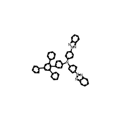 c1ccc(-c2cc(-c3ccccc3)c(-c3ccc(N(c4ccc(-n5nc6ccccc6n5)cc4)c4ccc(-n5nc6ccccc6n5)cc4)cc3)c(-c3ccccc3)c2)cc1